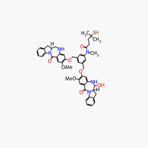 COc1cc2c(cc1OCc1cc(COc3cc4c(cc3OC)C(=O)N3c5ccccc5C[C@H]3C(O)N4)cc(N(C)C(=O)CCC(C)(C)S)c1)NC[C@@H]1Cc3ccccc3N1C2=O